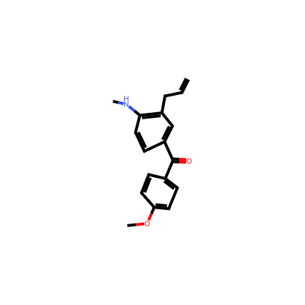 C=CCc1cc(C(=O)c2ccc(OC)cc2)ccc1NC